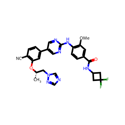 COc1cc(C(=O)NC2CC(F)(F)C2)ccc1Nc1ncc(-c2ccc(C#N)c(O[C@@H](C)Cn3cncn3)c2)cn1